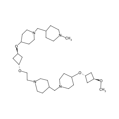 CO[C@H]1C[C@H](OC2CCN(CC3CCN(CCO[C@H]4C[C@H](OC5CCN(CC6CCN(C)CC6)CC5)C4)CC3)CC2)C1